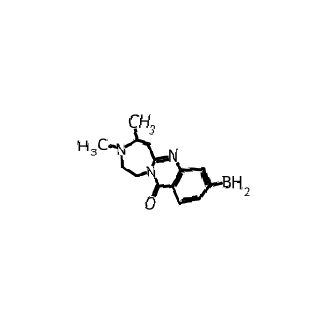 Bc1ccc2c(=O)n3c(nc2c1)CC(C)N(C)CC3